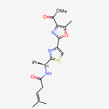 COC(=O)c1nc(-c2csc([C@@H](NC(=O)CC=C(C)C)C(C)C)n2)oc1C